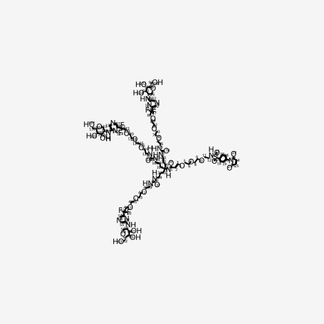 O=C(C=COCCOCCOCCNS(=O)(=O)c1ccc(N2C(=O)C=CC2=O)cc1)NC(CCCNC(=O)NCCOCCOCCOCC(F)(F)c1cncc(N[C@H]2CO[C@H](CO)[C@H](O)[C@@H]2O)n1)(CCCNC(=O)NCCOCCOCCOCC(F)(F)c1cncc(N[C@H]2CO[C@H](CO)[C@H](O)[C@@H]2O)n1)CCCNC(=O)NCCOCCOCCOCC(F)(F)c1cncc(N[C@H]2CO[C@H](CO)[C@H](O)[C@@H]2O)n1